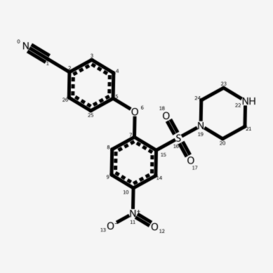 N#Cc1ccc(Oc2ccc([N+](=O)[O-])cc2S(=O)(=O)N2CCNCC2)cc1